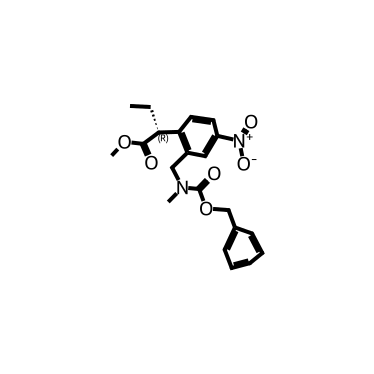 CC[C@@H](C(=O)OC)c1ccc([N+](=O)[O-])cc1CN(C)C(=O)OCc1ccccc1